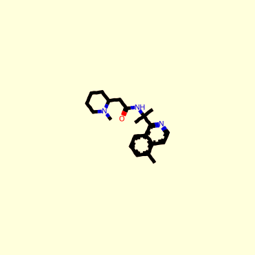 Cc1cccc2c(C(C)(C)NC(=O)CC3CCCCN3C)nccc12